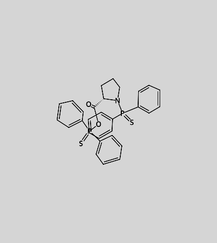 O=C(OP(=S)(c1ccccc1)c1ccccc1)[C@@H]1CCCN1P(=S)(c1ccccc1)c1ccccc1